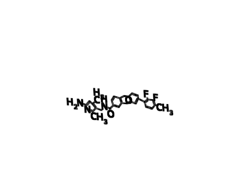 Cc1ccc(-c2ccc3c(c2)c2oc3c3ccc(C(=O)NCc4c(C)cc(N)nc4C)cc32)c(F)c1F